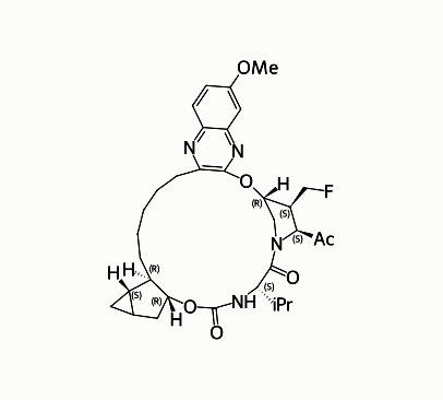 COc1ccc2nc3c(nc2c1)O[C@H]1CN(C(=O)[C@H](C(C)C)NC(=O)O[C@@H]2CC4C[C@@H]4[C@H]2CCCCC3)[C@H](C(C)=O)[C@@H]1CF